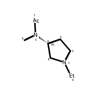 CCN1CC[C@@H](N(C)C(C)=O)C1